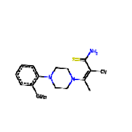 COc1ccccc1N1CCN(C(C)=C(C#N)C(N)=S)CC1